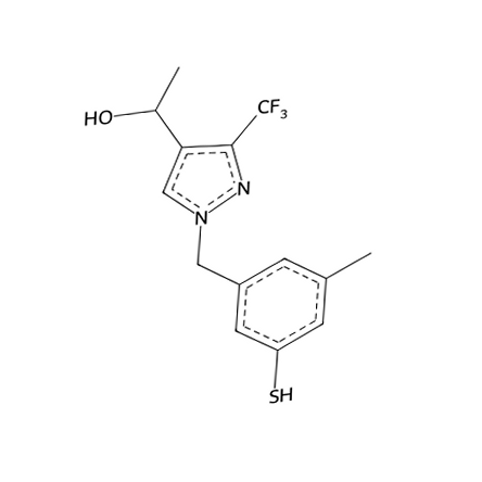 Cc1cc(S)cc(Cn2cc(C(C)O)c(C(F)(F)F)n2)c1